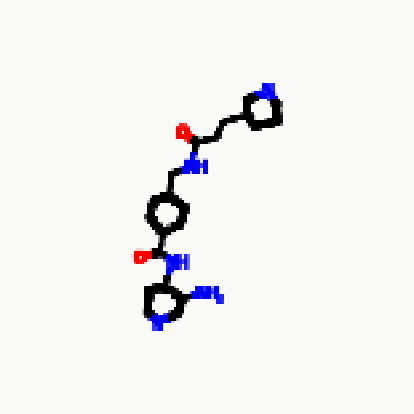 Nc1cnccc1NC(=O)c1ccc(CNC(=O)CCc2cccnc2)cc1